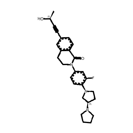 C[C@H](O)C#Cc1ccc2c(c1)CCN(c1ccc(N3CC[C@@H](N4CCCC4)C3)c(F)c1)C2=O